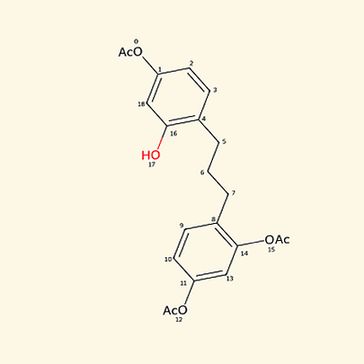 CC(=O)Oc1ccc(CCCc2ccc(OC(C)=O)cc2OC(C)=O)c(O)c1